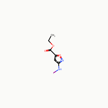 CCOC(=O)c1cc(NI)no1